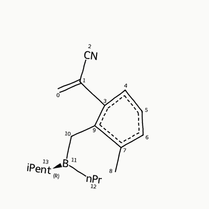 C=C(C#N)c1cccc(C)c1CB(CCC)[C@H](C)CCC